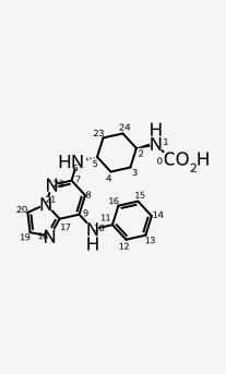 O=C(O)N[C@H]1CC[C@H](Nc2cc(Nc3ccccc3)c3nccn3n2)CC1